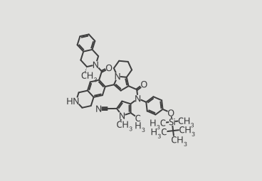 Cc1c(N(C(=O)c2cc(-c3cc4c(cc3C(=O)N3Cc5ccccc5C[C@H]3C)CNCC4)n3c2CCCC3)c2ccc(O[Si](C)(C)C(C)(C)C)cc2)cc(C#N)n1C